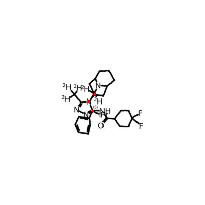 [2H]C([2H])([2H])c1nnc(C(C)C)n1C1CC2CCCC(C1)N2C([2H])([2H])C[C@H](NC(=O)C1CCC(F)(F)CC1)c1ccccc1